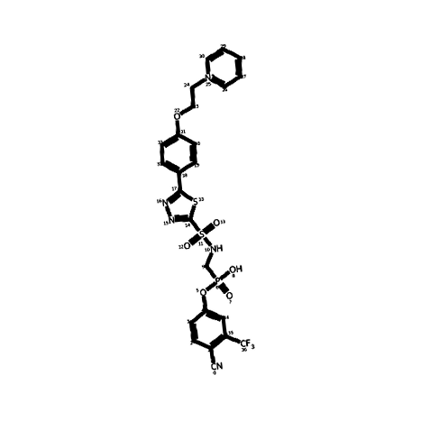 N#Cc1ccc(OP(=O)(O)CNS(=O)(=O)c2nnc(-c3ccc(OCC[n+]4ccccc4)cc3)s2)cc1C(F)(F)F